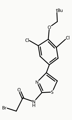 CC(C)(C)COc1c(Cl)cc(-c2csc(NC(=O)CBr)n2)cc1Cl